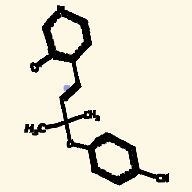 CC(C)(/C=C/c1ccnc[n+]1[O-])Oc1ccc(C#N)cc1